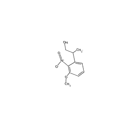 [CH2]C(CO)c1cccc(OC)c1[N+](=O)[O-]